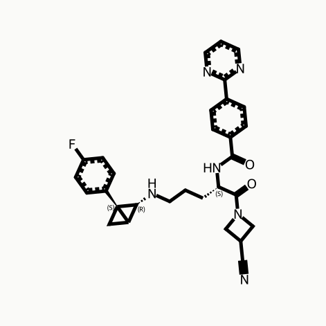 N#CC1CN(C(=O)[C@H](CCCN[C@@H]2C3C[C@@]32c2ccc(F)cc2)NC(=O)c2ccc(-c3ncccn3)cc2)C1